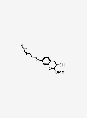 COC(=O)C(C)Cc1ccc(OCCCN=[N+]=[N-])cc1